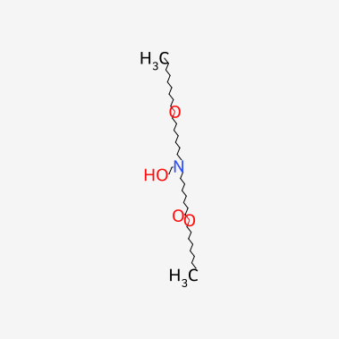 CCCCCCCCCOCCCCCCCCN(CCO)CCCCCCCC(=O)OCCCCCCCCC